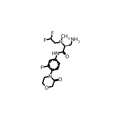 CN(CC(F)F)[C@@H](CN)C(=O)Nc1ccc(N2CCOCC2=O)c(F)c1